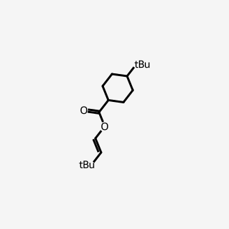 CC(C)(C)C=COC(=O)C1CCC(C(C)(C)C)CC1